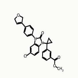 COC(=O)c1cccc(C2(n3c(=O)n(-c4ccc(C5=CCOC5)cc4)c4cc(Cl)ccc43)CC2)c1